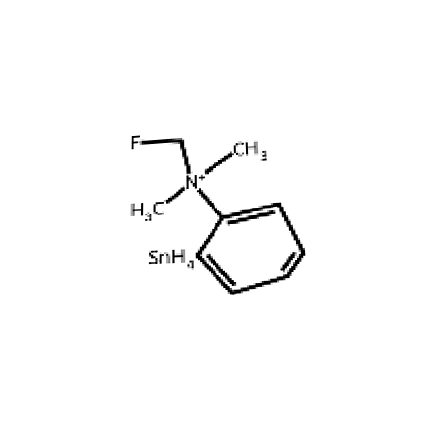 C[N+](C)(CF)c1ccccc1.[SnH4]